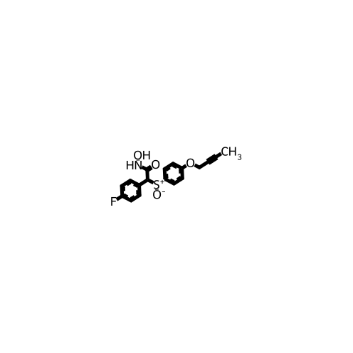 CC#CCOc1ccc([S+]([O-])C(C(=O)NO)c2ccc(F)cc2)cc1